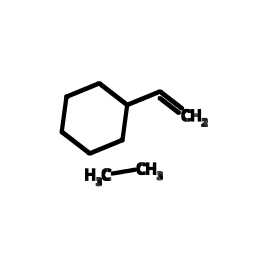 C=CC1CCCCC1.CC